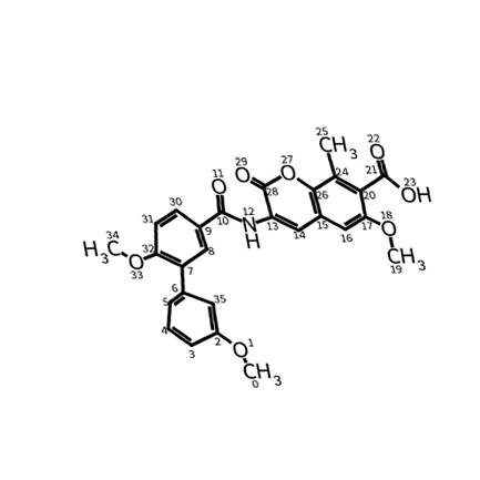 COc1cccc(-c2cc(C(=O)Nc3cc4cc(OC)c(C(=O)O)c(C)c4oc3=O)ccc2OC)c1